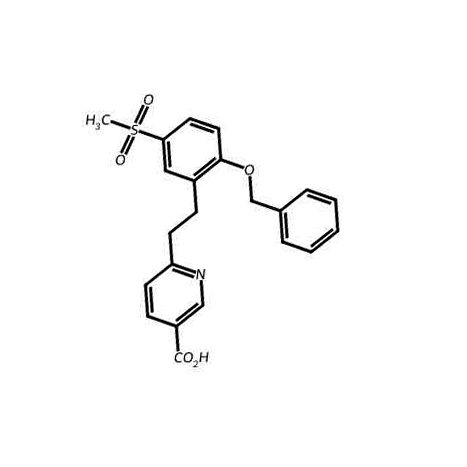 CS(=O)(=O)c1ccc(OCc2ccccc2)c(CCc2ccc(C(=O)O)cn2)c1